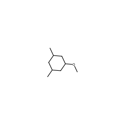 COC1CC(C)CC(C)C1